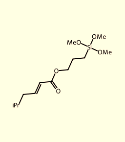 CO[Si](CCCOC(=O)C=CCC(C)C)(OC)OC